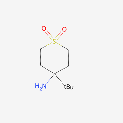 CC(C)(C)C1(N)CCS(=O)(=O)CC1